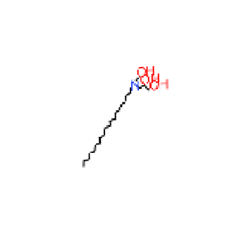 CCCCCCCCCCCCCCCCCCCCN(CCO)CC(O)CO